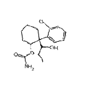 CCC(O)[C@]1(c2ccccc2Cl)CCCC[C@H]1OC(N)=O